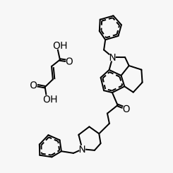 O=C(CCC1CCN(Cc2ccccc2)CC1)c1ccc2c3c1CCCC3CN2Cc1ccccc1.O=C(O)C=CC(=O)O